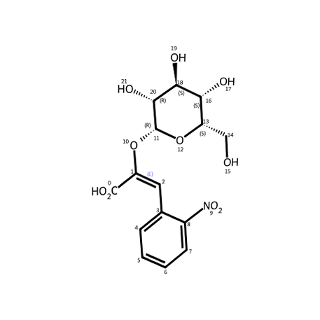 O=C(O)/C(=C\c1ccccc1[N+](=O)[O-])O[C@H]1O[C@@H](CO)[C@@H](O)[C@H](O)[C@H]1O